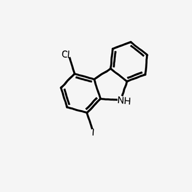 Clc1ccc(I)c2[nH]c3ccccc3c12